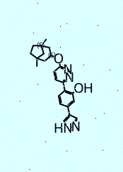 CC12CC[C@](C)(C[C@@H](Oc3ccc(-c4ccc(-c5cn[nH]c5)cc4O)nn3)C1)C2